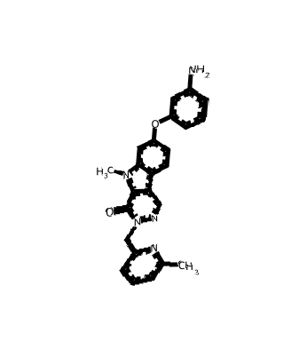 Cc1cccc(Cn2ncc3c4ccc(Oc5cccc(N)c5)cc4n(C)c3c2=O)n1